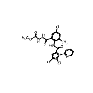 COC(=O)NNC(=O)c1cc(Cl)cc(C)c1NC(=O)c1cc(Cl)c(Cl)n1-c1ccccn1